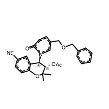 CC(=O)O[C@H]1[C@H](n2cc(COCc3ccccc3)ccc2=O)c2cc(C#N)ccc2OC1(C)C